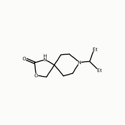 CCC(CC)N1CCC2(CC1)COC(=O)N2